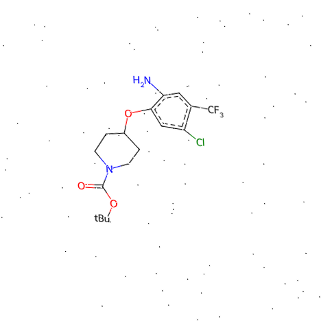 CC(C)(C)OC(=O)N1CCC(Oc2cc(Cl)c(C(F)(F)F)cc2N)CC1